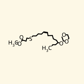 CCCC(CCCC/C=C\CCCCSCCC(=O)OC)OC1COCCO1